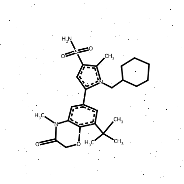 Cc1c(S(N)(=O)=O)cc(-c2cc3c(c(C(C)(C)C)c2)OCC(=O)N3C)n1CC1CCCCC1